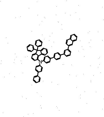 c1ccc(-c2ccc(N(c3ccc(-c4ccc(-c5cccc(-c6ccc7ccccc7c6)c5)cc4)cc3)c3cccc4c3-c3ccccc3C4(c3ccccc3)c3ccccc3)cc2)cc1